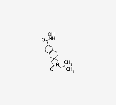 CC(C)CN1C[C@@]2(CCc3cc(C(=O)NO)ccc3C2)CC1=O